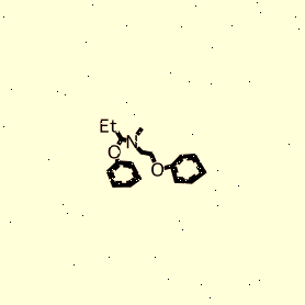 [CH2]CC(Oc1ccccc1)N(C)CCOc1ccccc1